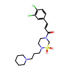 O=C(C=Cc1ccc(Cl)c(Cl)c1)N1CCN(CCCN2CCCCC2)S(=O)(=O)C1